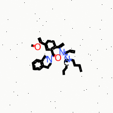 C=C/C(=N\C(=C)C1=C(C(=O)N2CCc3ccccc3C2)C=C(C(=C)OC)CC1)N(CCCC)CCCC